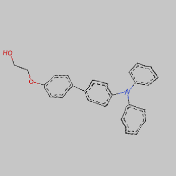 OCCOc1ccc(-c2ccc(N(c3ccccc3)c3ccccc3)cc2)cc1